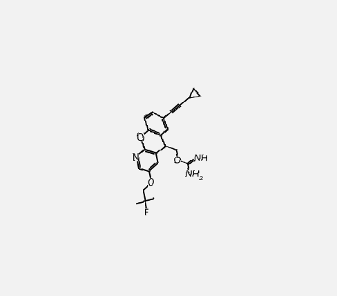 CC(C)(F)COc1cnc2c(c1)[C@H](COC(=N)N)c1cc(C#CC3CC3)ccc1O2